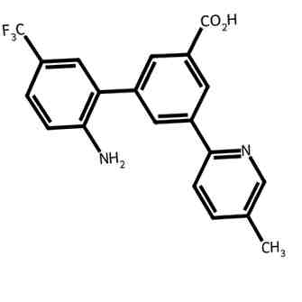 Cc1ccc(-c2cc(C(=O)O)cc(-c3cc(C(F)(F)F)ccc3N)c2)nc1